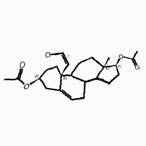 CC(=O)O[C@H]1CC[C@@]2(/C=C\Cl)C(=CCC3C2CC[C@@]2(C)C3CC[C@@H]2OC(C)=O)C1